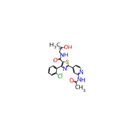 CC(=O)Nc1cc(-c2nc(-c3ccccc3Cl)c(C(=O)NC[C@@H](C)O)s2)ccn1